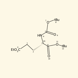 CCOC(=O)CC[C@H](NC(=O)OC(C)(C)C)C(=O)OC(C)(C)C